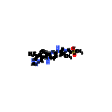 Cc1c(-c2[nH]c3ccc(N[C@@]45CN(CCS(C)(=O)=O)C4(C)C5)nc3c2C(C)C)cn2ncnc2c1C